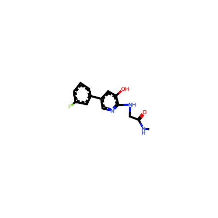 CNC(=O)CNc1ncc(-c2cccc(F)c2)cc1O